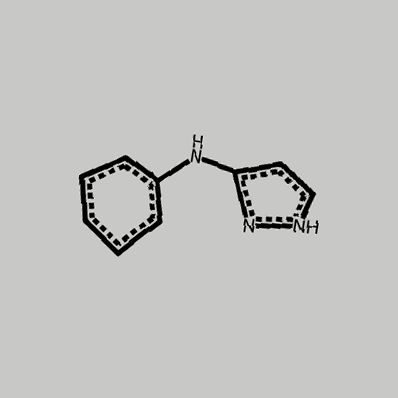 c1ccc(Nc2cc[nH]n2)cc1